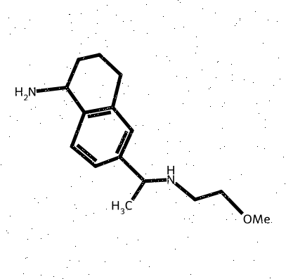 COCCNC(C)c1ccc2c(c1)CCCC2N